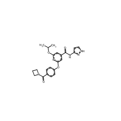 CC(C)Oc1cc(C(=O)Nc2cc[nH]n2)cc(Oc2ccc(C(=O)N3CCC3)cc2)n1